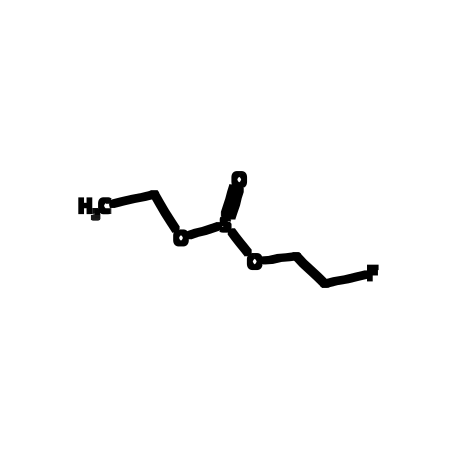 CCOS(=O)OCCF